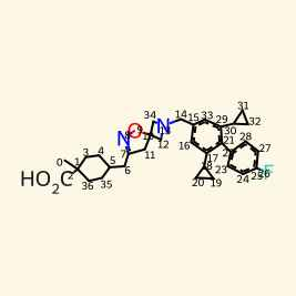 CC1(C(=O)O)CCC(CC2=NOC3(C2)CN(Cc2cc(C4CC4)c(-c4ccc(F)cc4)c(C4CC4)c2)C3)CC1